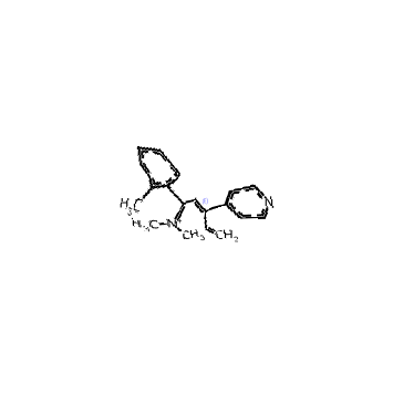 C=C/C(=C\C(c1ccccc1C)=[N+](C)C)c1ccncc1